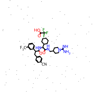 N#Cc1ccc(CC(C(=O)N[C@H](C(=O)NCC2CCN(C(=N)N)CC2)C2CCCCC2)c2cccc(C(F)(F)F)c2)cc1.O=C(O)C(F)(F)F